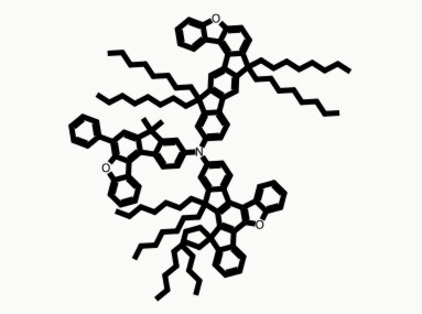 CCCCCCCCC1(CCCCCCCC)c2cc(N(c3ccc4c(c3)C(C)(C)c3cc(-c5ccccc5)c5oc6ccccc6c5c3-4)c3ccc4c(c3)C(CCCCCCC)(CCCCCCC)c3c5c(c6oc7ccccc7c6c3-4)-c3ccccc3C5(CCCCCCC)CCCCCCC)ccc2-c2cc3c(cc21)-c1c(ccc2oc4ccccc4c12)C3(CCCCCCCC)CCCCCCCC